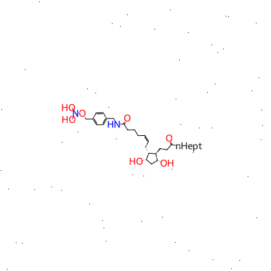 CCCCCCCC(=O)CC[C@@H]1[C@@H](C/C=C\CCCC(=O)NCc2ccc(CON(O)O)cc2)[C@@H](O)C[C@H]1O